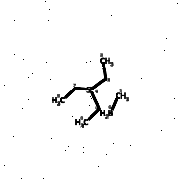 BC.CC[Si](CC)CC